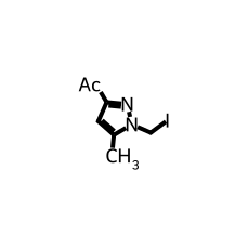 CC(=O)c1cc(C)n(CI)n1